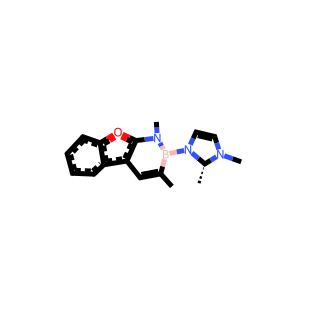 CC1=Cc2c(oc3ccccc23)N(C)B1N1C=CN(C)[C@@H]1C